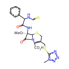 CO[C@@]1(NC(=O)C(NC=S)c2ccccc2)C(=O)N2C(C(=O)O)=C(CSc3nnnn3C)CSC21